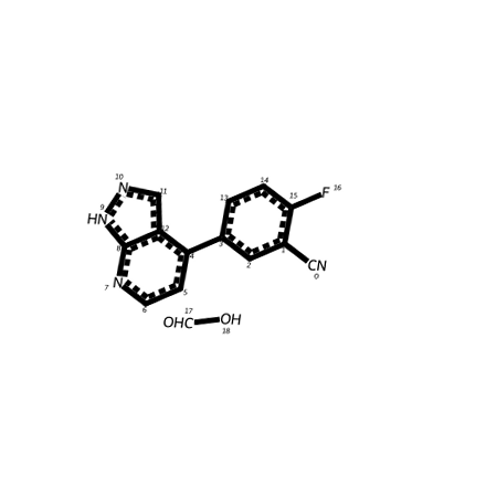 N#Cc1cc(-c2ccnc3[nH]ncc23)ccc1F.O=CO